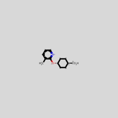 Cc1cccnc1O[C@H]1CC[C@H](C(=O)O)CC1